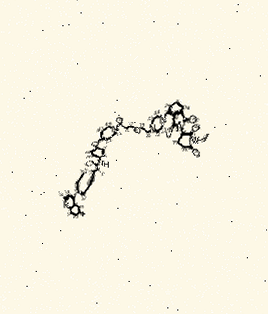 C[C@@H](C(=O)Nc1ccc(OC2CCN(C(=O)CCOCCN3CCN(c4cccc5c4C(=O)N(C4CCC(=O)NC4=O)C5=O)CC3)CC2)cc1)[C@H]1CC[C@@H](c2ccnc3ccc(F)cc32)CC1